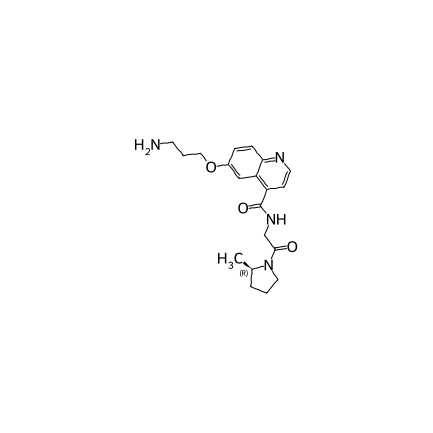 C[C@@H]1CCCN1C(=O)CNC(=O)c1ccnc2ccc(OCCCN)cc12